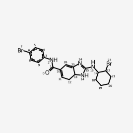 O=C(Nc1ccc(Br)cc1)C1=CCC2NC(NC3CCCCC3Br)=NC2=C1